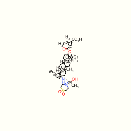 CC(C)[C@@H]1CC[C@]2(NC[C@H]([C@@H](C)O)N3CCS(=O)(=O)CC3)CC[C@]3(C)[C@H](CC[C@@H]4[C@@]5(C)CC[C@H](OC(=O)[C@@H]6C[C@H](C(=O)O)C6(C)C)C(C)(C)[C@@H]5CC[C@]43C)[C@@H]12